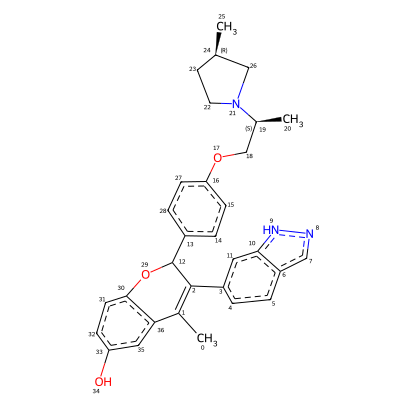 CC1=C(c2ccc3cn[nH]c3c2)C(c2ccc(OC[C@H](C)N3CC[C@@H](C)C3)cc2)Oc2ccc(O)cc21